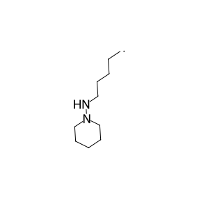 [CH2]CCCCNN1CCCCC1